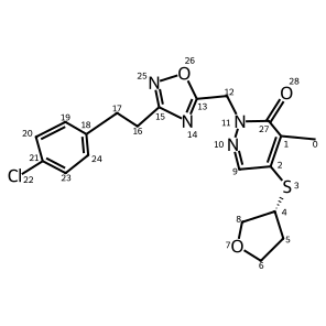 Cc1c(S[C@@H]2CCOC2)cnn(Cc2nc(CCc3ccc(Cl)cc3)no2)c1=O